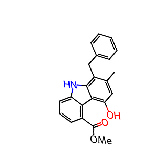 COC(=O)c1cccc2[nH]c3c(Cc4ccccc4)c(C)cc(O)c3c12